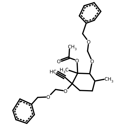 C#CC1(OCOCc2ccccc2)CCC(C)C(OCOCc2ccccc2)C1(C)OC(C)=O